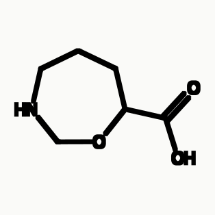 O=C(O)C1CCCNCO1